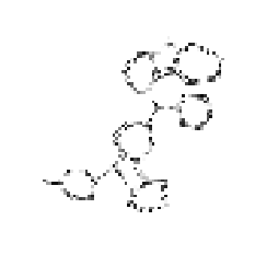 Fc1ccc(-n2c3ccccc3c3cc(N(c4ccccc4)c4cccc5oc6ccccc6c45)ccc32)cc1